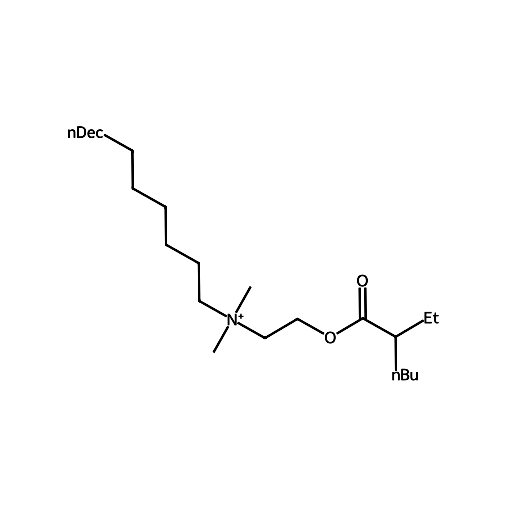 CCCCCCCCCCCCCCCC[N+](C)(C)CCOC(=O)C(CC)CCCC